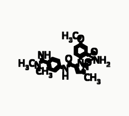 COc1ccc(-n2nc(C)cc2C(=O)Nc2ccc(C(=N)N(C)C)cc2)c(S(N)(=O)=O)c1